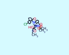 CC/C=C/[C@](O)(C=O)[C@@H]1CC[C@H]1CN1C[C@@]2(CCCc3cc(Cl)ccc32)COc2ccc(C(=O)NS(=O)(=O)C(C)C)cc21